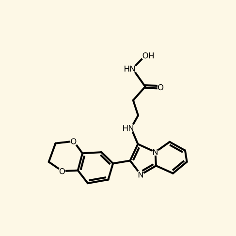 O=C(CCNc1c(-c2ccc3c(c2)OCCO3)nc2ccccn12)NO